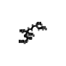 C=CC(C)CCCC(C)(C)OC(=O)C(=O)OCC